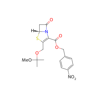 COC(C)(C)OCC1=C(C(=O)OCc2ccc([N+](=O)[O-])cc2)N2C(=O)C[C@H]2S1